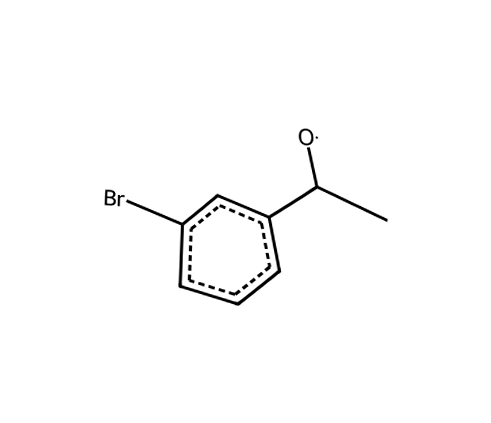 CC([O])c1cccc(Br)c1